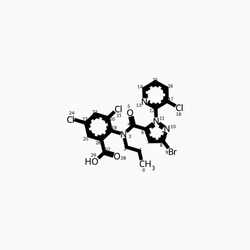 CCCN(C(=O)c1cc(Br)nn1-c1ncccc1Cl)c1c(Cl)cc(Cl)cc1C(=O)O